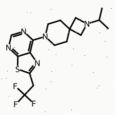 CC(C)N1CC2(CCN(c3ncnc4sc(CC(F)(F)F)nc34)CC2)C1